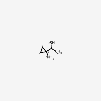 CC(S)C1(N)CC1